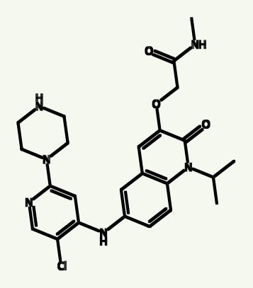 CNC(=O)COc1cc2cc(Nc3cc(N4CCNCC4)ncc3Cl)ccc2n(C(C)C)c1=O